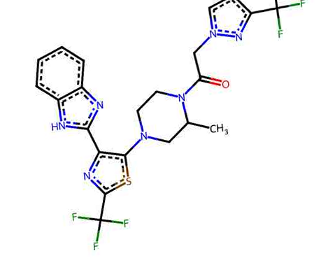 CC1CN(c2sc(C(F)(F)F)nc2-c2nc3ccccc3[nH]2)CCN1C(=O)Cn1ccc(C(F)(F)F)n1